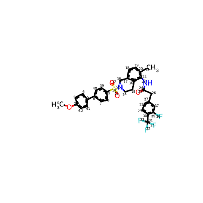 COc1ccc(-c2ccc(S(=O)(=O)N3CCc4c(ccc(C)c4NC(=O)Cc4ccc(C(F)(F)F)c(F)c4)C3)cc2)cc1